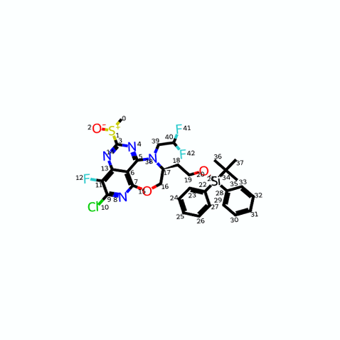 C[S+]([O-])c1nc2c3c(nc(Cl)c(F)c3n1)OC[C@H](CCO[Si](c1ccccc1)(c1ccccc1)C(C)(C)C)N2CC(F)F